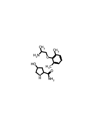 Cc1cccc(C)c1OCC(C)N.NC(=O)C1CC(O)CN1